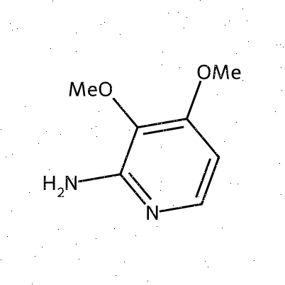 COc1ccnc(N)c1OC